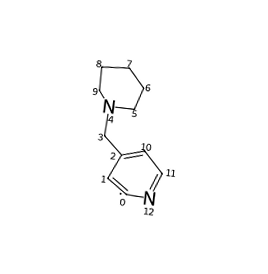 [c]1cc(CN2CCCCC2)ccn1